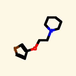 [c]1cc(OCCN2CCCCC2)cs1